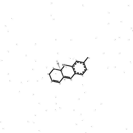 Cc1ccc2c(c1)N[C@@H]1CCC=CC1=C2